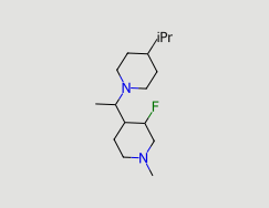 CC(C)C1CCN(C(C)C2CCN(C)CC2F)CC1